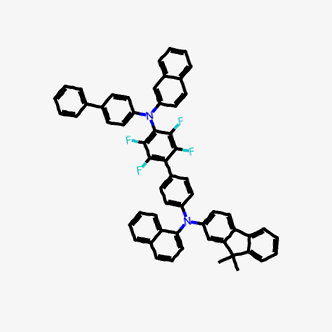 CC1(C)c2ccccc2-c2ccc(N(c3ccc(-c4c(F)c(F)c(N(c5ccc(-c6ccccc6)cc5)c5ccc6ccccc6c5)c(F)c4F)cc3)c3cccc4ccccc34)cc21